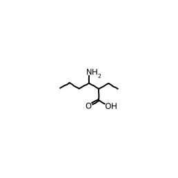 CCCC(N)C(CC)C(=O)O